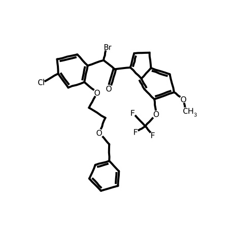 COc1cc2c(cc1OC(F)(F)F)C(C(=O)C(Br)c1ccc(Cl)cc1OCCOCc1ccccc1)=CC2